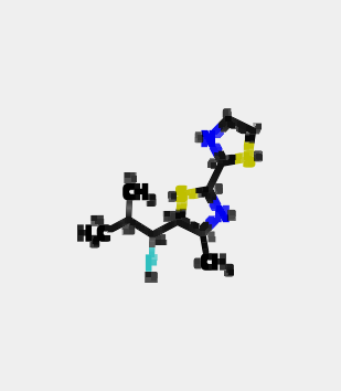 Cc1nc(-c2nccs2)sc1C(F)C(C)C